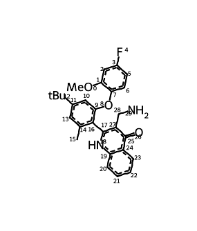 COc1cc(F)ccc1Oc1cc(C(C)(C)C)cc(C)c1-c1[nH]c2ccccc2c(=O)c1CN